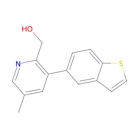 Cc1cnc(CO)c(-c2ccc3sccc3c2)c1